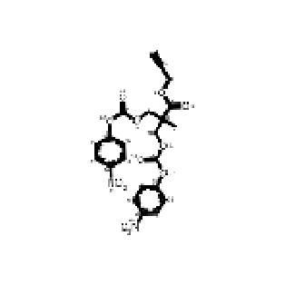 C#CCOC(=O)C(C)(COC(=O)Oc1ccc([N+](=O)[O-])cc1)COC(=O)Oc1ccc([N+](=O)[O-])cc1